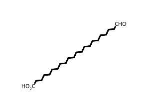 O=[C]CCCCCCCCCCCCCCCCCCCCC(=O)O